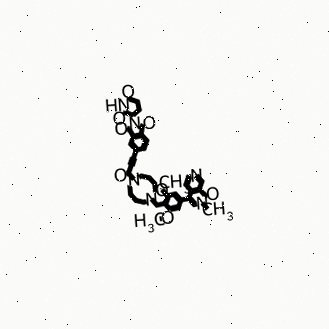 COc1cc(-c2cn(C)c(=O)c3cnccc23)cc(OC)c1CN1CCCCN(C(=O)C#Cc2ccc3c(c2)C(=O)N(C2CCC(=O)NC2=O)C3=O)CCCC1